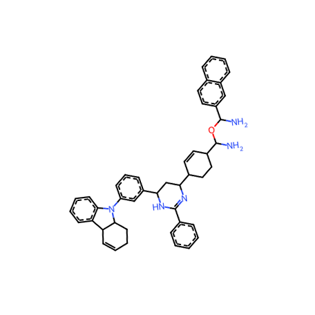 NC(OC(N)C1C=CC(C2CC(c3cccc(N4c5ccccc5C5C=CCCC54)c3)NC(c3ccccc3)=N2)CC1)c1ccc2ccccc2c1